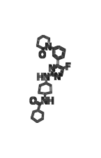 O=C(NC1CCC(Nc2ncc(F)c(-c3cccc(N4CCCCC4=O)c3)n2)CC1)C1CCCCC1